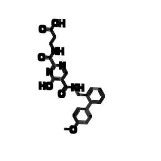 COc1ccc(-c2ccccc2CNC(=O)c2cnc(C(=O)NCCC(=O)O)nc2O)cc1